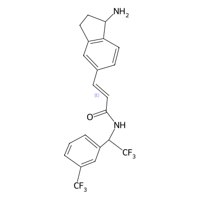 NC1CCc2cc(/C=C/C(=O)NC(c3cccc(C(F)(F)F)c3)C(F)(F)F)ccc21